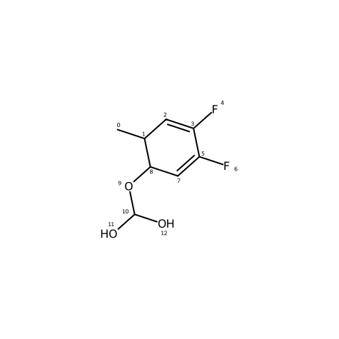 CC1C=C(F)C(F)=CC1OC(O)O